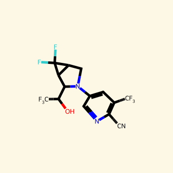 N#Cc1ncc(N2CC3C(C2C(O)C(F)(F)F)C3(F)F)cc1C(F)(F)F